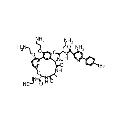 C[C@@H]1NC(=O)[C@@H](N(C)C(=O)[C@H](CCN)NC(=O)c2cnc(-c3ccc(C(C)(C)C)cc3)cc2N)c2ccc(OCCN)c(c2)-c2cc(ccc2OCCN)C[C@@H](C(=O)NCC#N)NC1=O